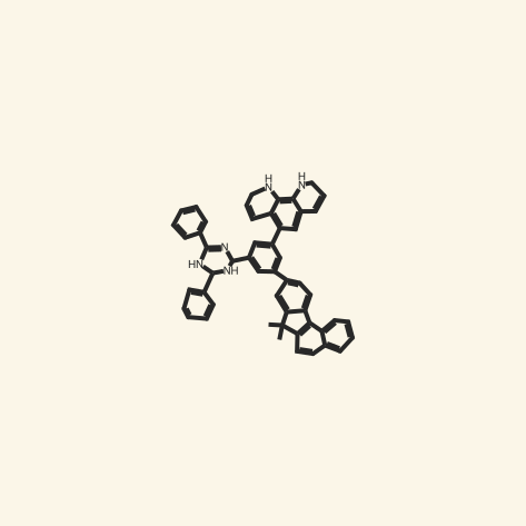 CC1(C)c2cc(-c3cc(-c4cc5c(c6c4C=CCN6)NCC=C5)cc(C4N=C(c5ccccc5)NC(c5ccccc5)N4)c3)ccc2-c2c1ccc1ccccc21